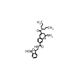 CCCN(CCC)C(=O)C1=Cc2ccc(C(=O)NCC3OB(O)c4ccccc43)cc2N=C(N)C1